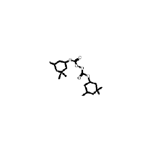 CC1CC(OC(=O)OOC(=O)OC2CC(C)CC(C)(C)C2)CC(C)(C)C1